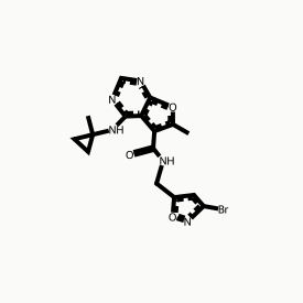 Cc1oc2ncnc(NC3(C)CC3)c2c1C(=O)NCc1cc(Br)no1